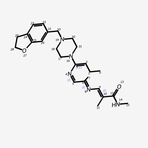 CC\C=C(/N=C\C(C)=N\C=C(/C)C(=O)NC)N1CCN(Cc2ccc3c(c2)OCC3)CC1